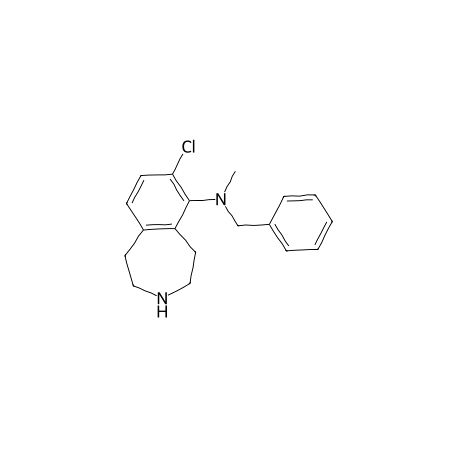 CN(Cc1ccccc1)c1c(Cl)ccc2c1CCNCC2